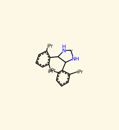 CC(C)c1cccc(C(C)C)c1C1N[C]NC1c1c(C(C)C)cccc1C(C)C